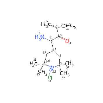 C=C(C)C(=O)C(N)C1CC(C)(C)N(Cl)C(C)(C)C1